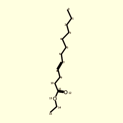 CCCCCCCC=CCCC(=O)OCC